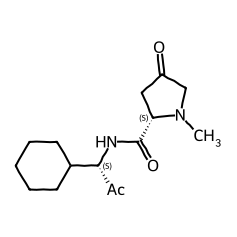 CC(=O)[C@@H](NC(=O)[C@@H]1CC(=O)CN1C)C1CCCCC1